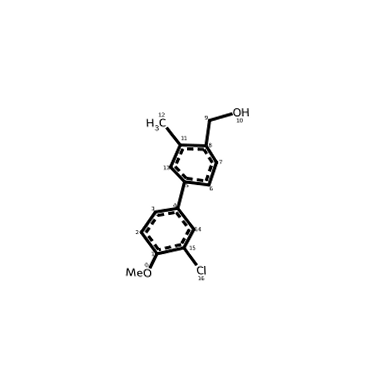 COc1ccc(-c2ccc(CO)c(C)c2)cc1Cl